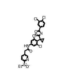 CC[S+]([O-])c1ccc(CC(=O)Nc2cc(Cl)c(C3(c4noc(-c5ccc(Cl)c(Cl)c5)n4)CC3)c(Cl)c2)cn1